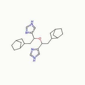 c1nc(C(CC2CC3CCC2C3)OC(CC2CC3CCC2C3)c2c[nH]cn2)c[nH]1